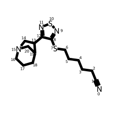 N#CCCCCCSc1nsnc1C1CN2CCCC1C2